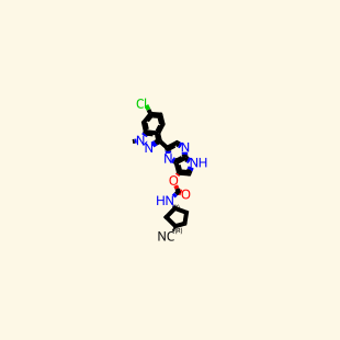 Cn1nc(-c2cnc3[nH]cc(OC(=O)N[C@@H]4CC[C@@H](C#N)C4)c3n2)c2ccc(Cl)cc21